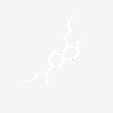 CCOC(=O)c1ccc2c(OCOC)c(Br)cnc2c1